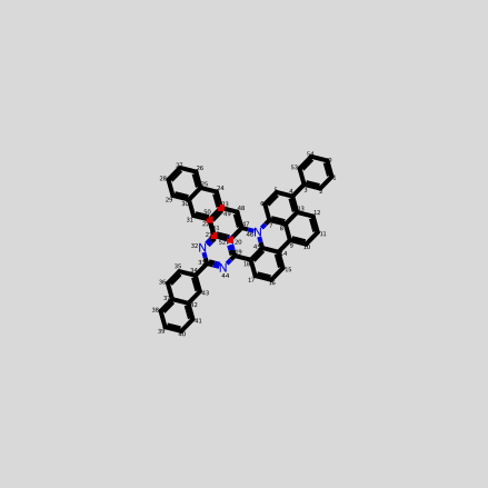 c1ccc(-c2ccc3c4c(cccc24)-c2cccc(-c4nc(-c5ccc6ccccc6c5)nc(-c5ccc6ccccc6c5)n4)c2N3c2ccccc2)cc1